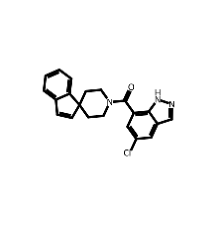 O=C(c1cc(Cl)cc2cn[nH]c12)N1CCC2(C=Cc3ccccc32)CC1